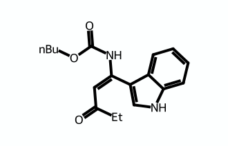 CCCCOC(=O)NC(=CC(=O)CC)c1c[nH]c2ccccc12